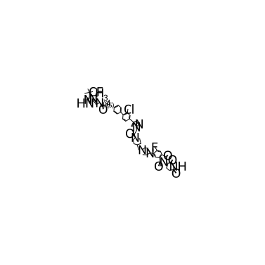 CC(C)(c1n[nH]c(CNC(=O)[C@H]2C[C@@H]2c2ccc(-c3ccc(-c4cnn(CC(=O)N5CCC(CN6CCN(c7cc8c(cc7F)C(=O)N(C7CCC(=O)NC7=O)C8=O)CC6)CC5)c4)cc3Cl)cc2)n1)C(F)(F)F